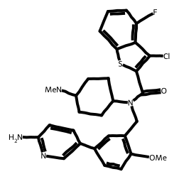 CNC1CCC(N(Cc2cc(-c3ccc(N)nc3)ccc2OC)C(=O)c2sc3cccc(F)c3c2Cl)CC1